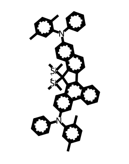 Cc1ccc(C)c(N(c2ccccc2)c2ccc3c4c(ccc3c2)-c2c(c3ccc(N(c5ccccc5)c5cc(C)ccc5C)cc3c3ccccc23)C4([Si](C)(C)C)[Si](C)(C)C)c1